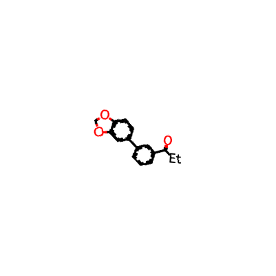 CCC(=O)c1cccc(-c2ccc3c(c2)OCO3)c1